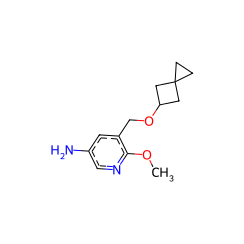 COc1ncc(N)cc1COC1CC2(CC2)C1